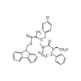 C[C@@H](c1ccccc1)[C@H](CC(=O)O)C(=O)N(C)C[C@@H](Cc1ccc(Cl)cc1)N(C)C(=O)OCC1c2ccccc2-c2ccccc21